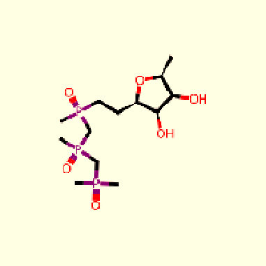 C[C@@H]1O[C@H](CCP(C)(=O)CP(C)(=O)CP(C)(C)=O)[C@H](O)C1O